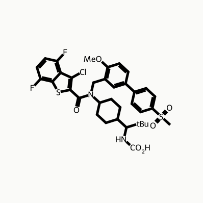 COc1ccc(-c2ccc(S(C)(=O)=O)cc2)cc1CN(C(=O)c1sc2c(F)ccc(F)c2c1Cl)C1CCC(C(NC(=O)O)C(C)(C)C)CC1